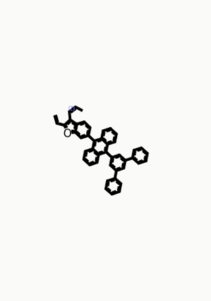 C=Cc1oc2cc(-c3c4ccccc4c(-c4cc(-c5ccccc5)cc(-c5ccccc5)c4)c4ccccc34)ccc2c1/C=C\C